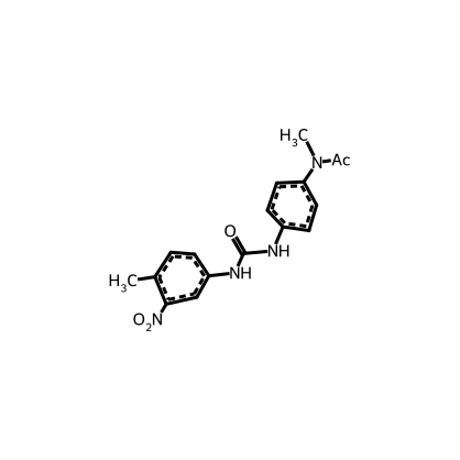 CC(=O)N(C)c1ccc(NC(=O)Nc2ccc(C)c([N+](=O)[O-])c2)cc1